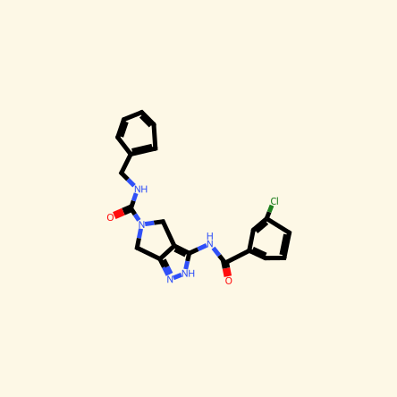 O=C(Nc1[nH]nc2c1CN(C(=O)NCc1ccccc1)C2)c1cccc(Cl)c1